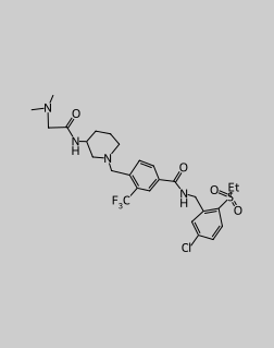 CCS(=O)(=O)c1ccc(Cl)cc1CNC(=O)c1ccc(CN2CCCC(NC(=O)CN(C)C)C2)c(C(F)(F)F)c1